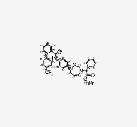 CCCOC(=O)C(c1ccccc1)N1CCCN(c2ccc(NC(=O)c3ccccc3-c3ccc(C(F)(F)F)cc3)cc2)CC1